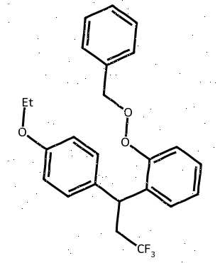 CCOc1ccc(C(CC(F)(F)F)c2ccccc2OOCc2ccccc2)cc1